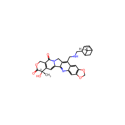 CC1(C)C2CCC(CNCc3c4c(nc5cc6c(cc35)OCO6)-c3cc5c(c(=O)n3C4)COC(=O)[C@@]5(C)O)C1C2